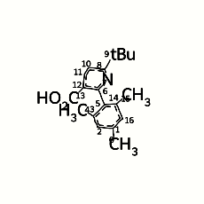 Cc1cc(C)c(-c2nc(C(C)(C)C)ccc2C(=O)O)c(C)c1